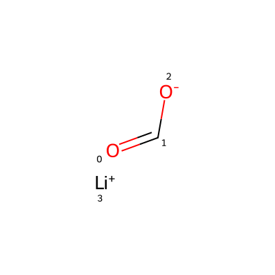 O=C[O-].[Li+]